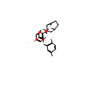 COc1ccc(N2C[C@H]3CC[C@@H](C2)N3c2ncc(F)c(Nc3cc(C(C)(C)C)ccc3C)n2)cc1